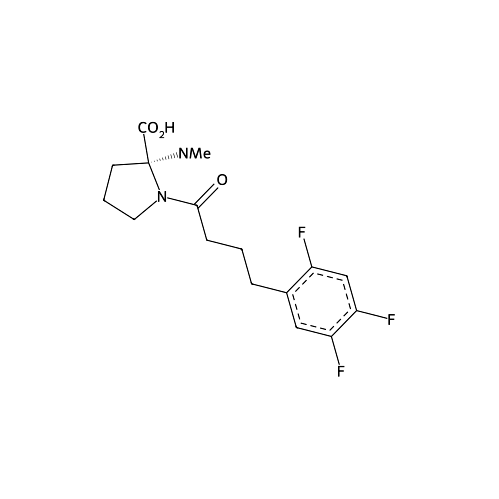 CN[C@@]1(C(=O)O)CCCN1C(=O)CCCc1cc(F)c(F)cc1F